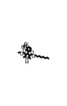 CCCCCCCCOC(=O)C1=C(C)NC(C)=C(C(=O)OCC)C1c1cccc([N+](=O)[O-])c1